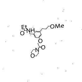 CCC(=O)NCc1cc(CCCOC)cc(OCC(=O)N2CCOCC2)c1